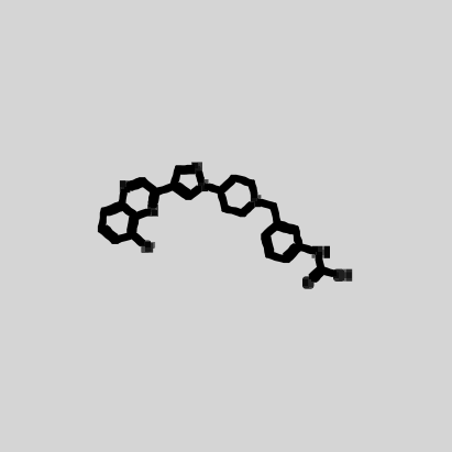 O=C(O)Nc1cccc(CN2CCC(n3cc(-c4cnc5cccc(Br)c5n4)cn3)CC2)c1